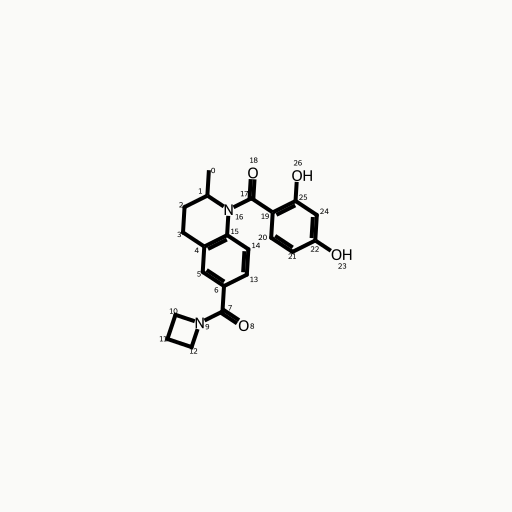 CC1CCc2cc(C(=O)N3CCC3)ccc2N1C(=O)c1ccc(O)cc1O